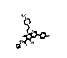 CN1CCN(CCn2c(=O)c(C(=O)NC34CC(C3)C4)c(O)c3cc(-c4ccc(F)cc4)cnc32)CC1